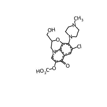 CN1CCN(c2c(Cl)cc3c(=O)c(OC(=O)O)cn4c3c2OC(CO)C4)CC1